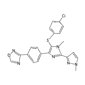 Cn1ccc(-c2nc(-c3ccc(-c4ncon4)cc3)c(Sc3ccc(Cl)cc3)n2C)n1